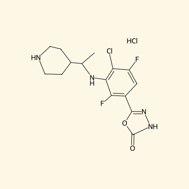 CC(Nc1c(F)c(-c2n[nH]c(=O)o2)cc(F)c1Cl)C1CCNCC1.Cl